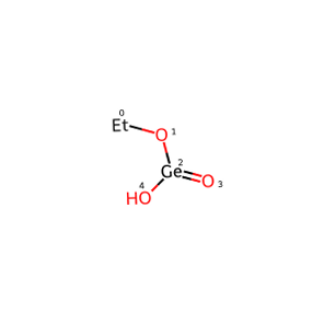 CC[O][Ge](=[O])[OH]